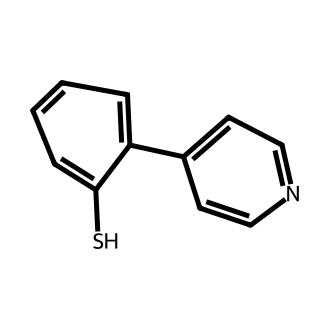 Sc1ccccc1-c1ccncc1